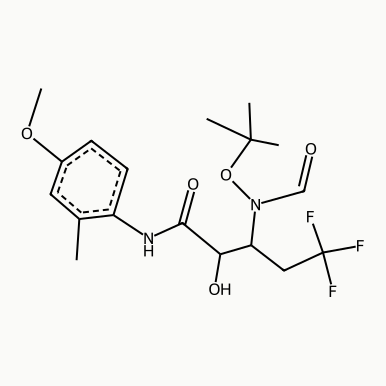 COc1ccc(NC(=O)C(O)C(CC(F)(F)F)N(C=O)OC(C)(C)C)c(C)c1